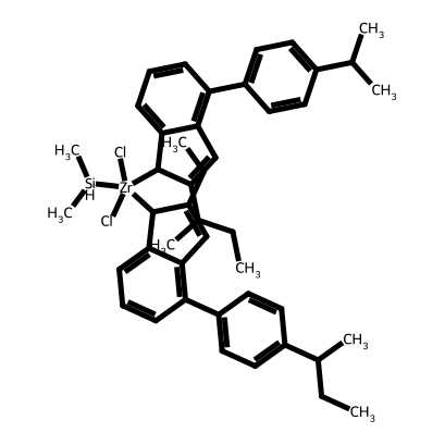 CCC1=Cc2c(-c3ccc(C(C)CC)cc3)cccc2[CH]1[Zr]([Cl])([Cl])([CH]1C(C(C)CC)=Cc2c(-c3ccc(C(C)C)cc3)cccc21)[SiH](C)C